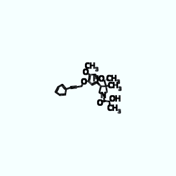 COc1ccc([C@@H]2CN(C(=O)[C@H](C)O)C[C@@]2(C)[C@@H](C)O)cc1OCC#Cc1ccccc1